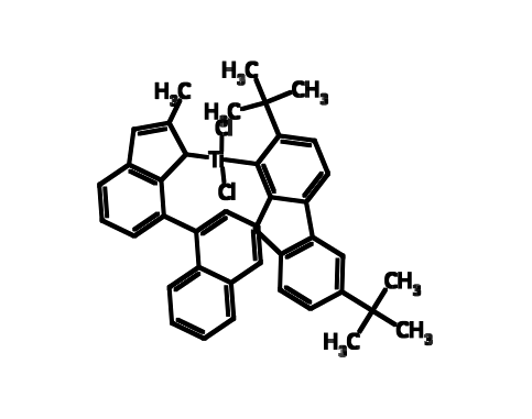 CC1=Cc2cccc(-c3cccc4ccccc34)c2[CH]1[Ti]([Cl])([Cl])[c]1c(C(C)(C)C)ccc2c1Cc1ccc(C(C)(C)C)cc1-2